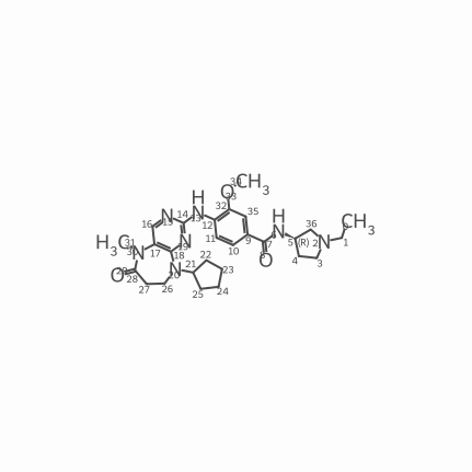 CCN1CC[C@@H](NC(=O)c2ccc(Nc3ncc4c(n3)N(C3CCCC3)CCC(=O)N4C)c(OC)c2)C1